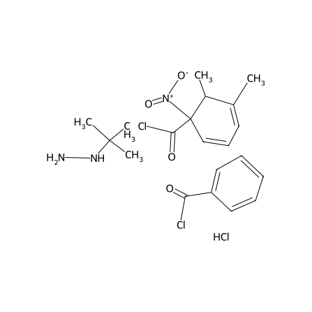 CC(C)(C)NN.CC1=CC=CC(C(=O)Cl)([N+](=O)[O-])C1C.Cl.O=C(Cl)c1ccccc1